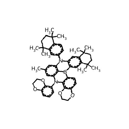 Cc1cc2c3c(c1)N(c1cccc4c1OCCO4)c1c(ccc4c1OCCO4)B3c1cc3c(cc1N2c1ccc2c(c1)C(C)(C)CCC2(C)C)C(C)(C)CCC3(C)C